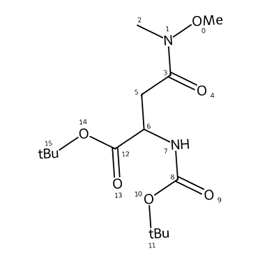 CON(C)C(=O)CC(NC(=O)OC(C)(C)C)C(=O)OC(C)(C)C